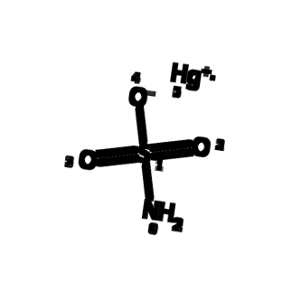 NS(=O)(=O)[O-].[Hg+]